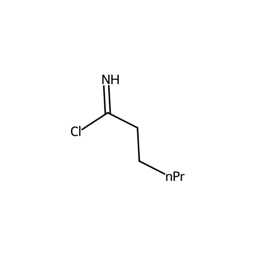 CCCCCC(=N)Cl